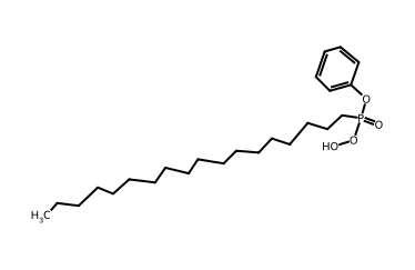 CCCCCCCCCCCCCCCCCCP(=O)(OO)Oc1ccccc1